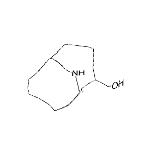 OC1CCC2CCC[C]1N2